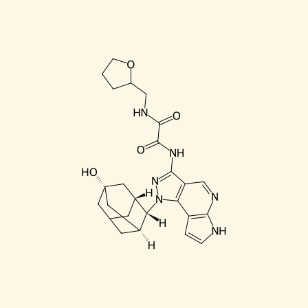 O=C(NCC1CCCO1)C(=O)Nc1nn([C@H]2[C@@H]3CC4C[C@H]2C[C@@](O)(C4)C3)c2c1cnc1[nH]ccc12